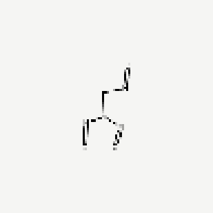 O=NCC(N=O)N=O